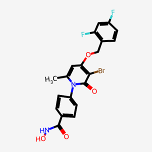 Cc1cc(OCc2ccc(F)cc2F)c(Br)c(=O)n1-c1ccc(C(=O)NO)cc1